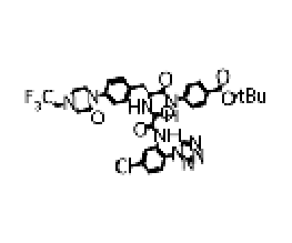 CC(C)(C)OC(=O)c1ccc(NC(=O)[C@H](Cc2ccc(N3CCN(CC(F)(F)F)CC3=O)cc2)NC(=O)C(=O)Nc2cc(Cl)ccc2-n2cnnn2)cc1